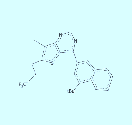 Cc1c(CCC(F)(F)F)sc2c(-c3cc(C(C)(C)C)c4ccccc4c3)ncnc12